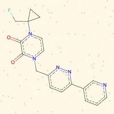 O=c1c(=O)n(C2(CF)CC2)ccn1Cc1ccc(-c2cccnc2)nn1